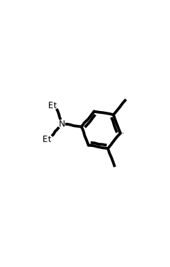 CCN(CC)c1cc(C)[c]c(C)c1